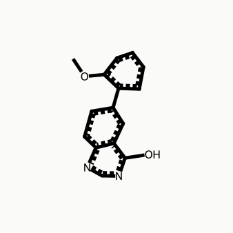 COc1ccccc1-c1ccc2ncnc(O)c2c1